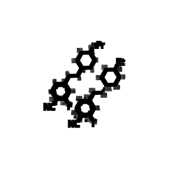 CCCC1CCC(CCc2ccc(C#N)c(F)c2)CC1.CC[C@H]1CC[C@H](CCc2ccc(C#N)c(F)c2)CC1